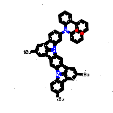 CC(C)(C)c1ccc2c(c1)c1cc(C(C)(C)C)cc3c4cc5c(cc4n2c13)c1cc(C(C)(C)C)cc2c3ccc(N(c4ccccc4)c4ccccc4-c4ccccc4)cc3n5c21